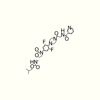 CC(C)COC(=O)NC[C@H]1CN(c2cc(F)c(N3CCN(C(=O)CNC(=O)c4cccnc4)CC3)c(F)c2)C(=O)O1